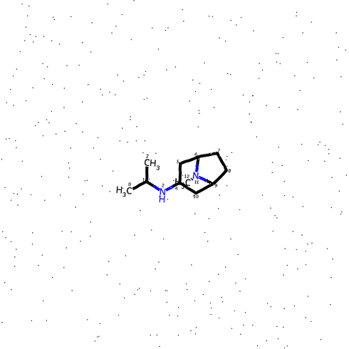 CC(C)NC1CC2CCC(C1)N2C